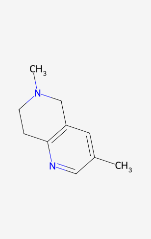 Cc1cnc2c(c1)CN(C)CC2